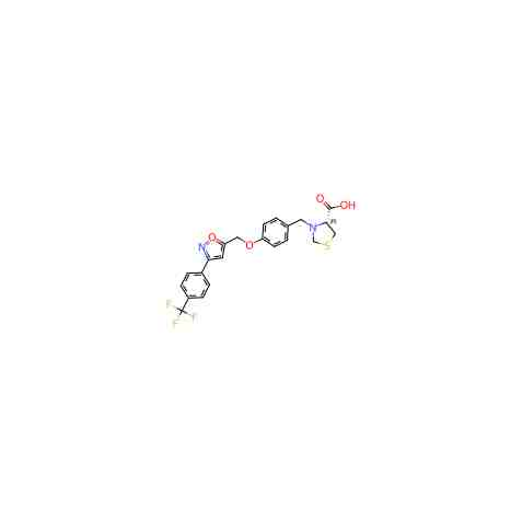 O=C(O)[C@@H]1CSCN1Cc1ccc(OCc2cc(-c3ccc(C(F)(F)F)cc3)no2)cc1